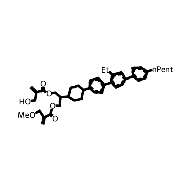 C=C(CO)C(=O)OCC(COC(=O)C(=C)COC)C1CCC(c2ccc(-c3ccc(-c4ccc(CCCCC)cc4)cc3CC)cc2)CC1